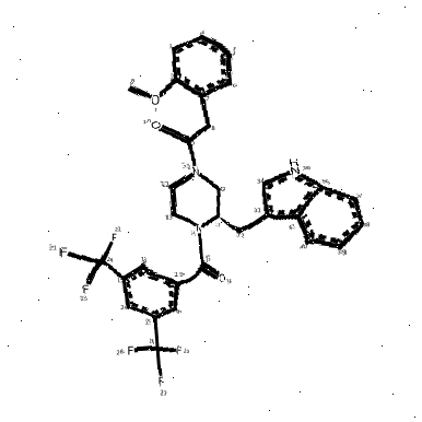 COc1ccccc1CC(=O)N1CCN(C(=O)c2cc(C(F)(F)F)cc(C(F)(F)F)c2)[C@H](Cc2c[nH]c3ccccc23)C1